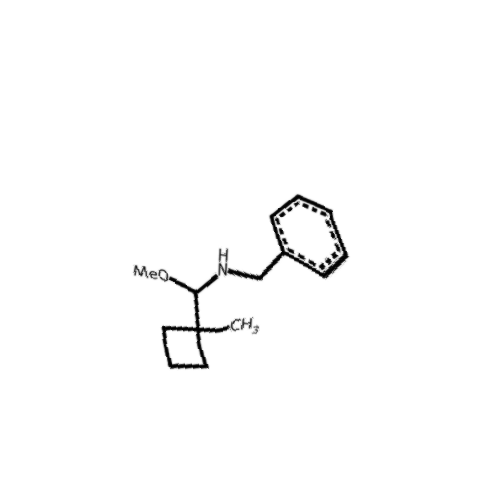 COC(NCc1ccccc1)C1(C)CCC1